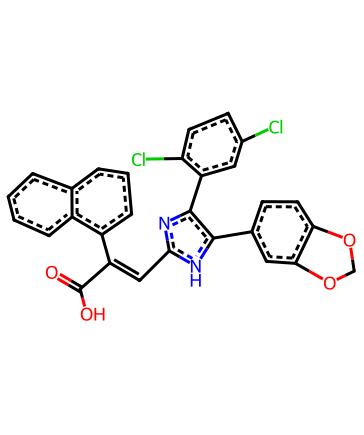 O=C(O)/C(=C/c1nc(-c2cc(Cl)ccc2Cl)c(-c2ccc3c(c2)OCO3)[nH]1)c1cccc2ccccc12